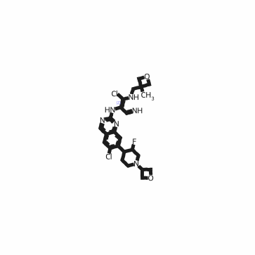 CC1(CN/C(Cl)=C(\C=N)Nc2ncc3cc(Cl)c(C4CCN(C5COC5)CC4F)cc3n2)COC1